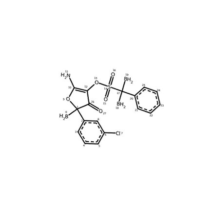 BC1(c2cccc(Cl)c2)OC(N)=C(OS(=O)(=O)C(B)(B)c2ccccc2)C1=O